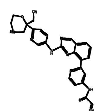 C=CC(=O)Nc1ccnc(-c2cccc3cnc(Nc4ccc([C@]5(CO)CNCCO5)nc4)nc23)c1